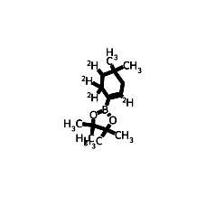 [2H]C1=C(B2OC(C)(C)C(C)(C)O2)C([2H])([2H])C([2H])C(C)(C)C1